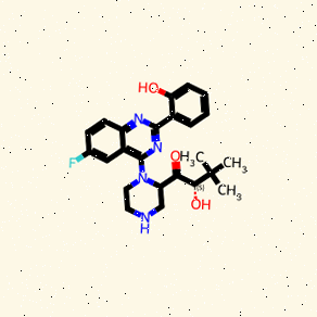 CC(C)(C)[C@H](O)C(=O)C1CNCCN1c1nc(-c2ccccc2O)nc2ccc(F)cc12